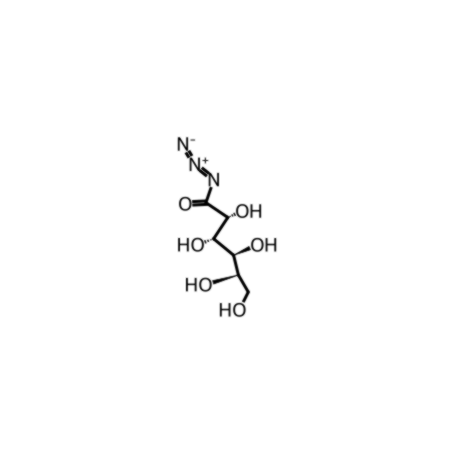 [N-]=[N+]=NC(=O)[C@H](O)[C@@H](O)[C@@H](O)[C@H](O)CO